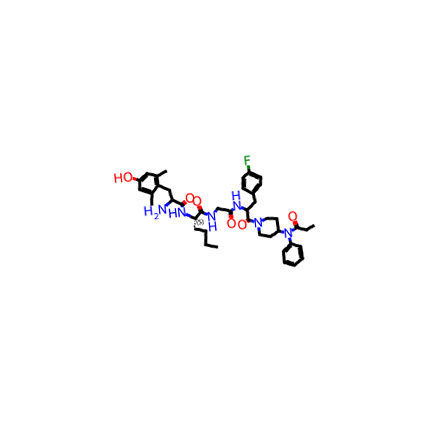 CCCC[C@H](NC(=O)C(N)Cc1c(C)cc(O)cc1C)C(=O)NCC(=O)NC(Cc1ccc(F)cc1)C(=O)N1CCC(N(C(=O)CC)c2ccccc2)CC1